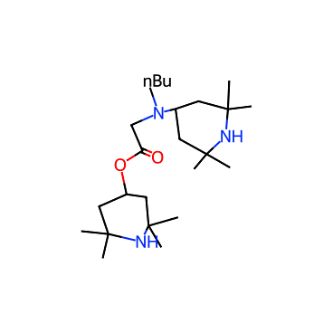 CCCCN(CC(=O)OC1CC(C)(C)NC(C)(C)C1)C1CC(C)(C)NC(C)(C)C1